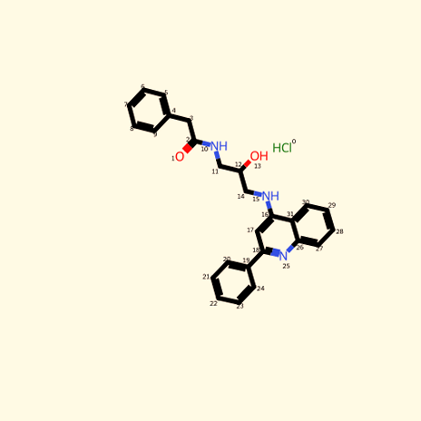 Cl.O=C(Cc1ccccc1)NCC(O)CNc1cc(-c2ccccc2)nc2ccccc12